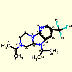 CC(C)N1CCN2c3ncc(C(F)(F)F)cc3N(C(C)C)C2C1